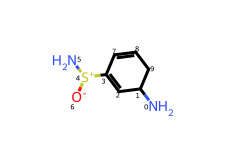 NC1C=C([S+](N)[O-])C=CC1